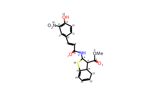 COC(=O)C1C(NC(=O)C=Cc2ccc(O)c([N+](=O)[O-])c2)SC2=CC=CCC21